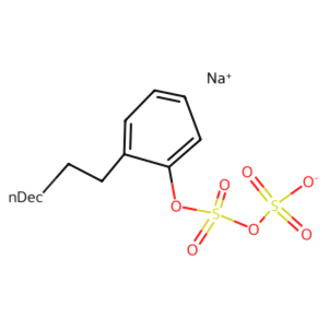 CCCCCCCCCCCCc1ccccc1OS(=O)(=O)OS(=O)(=O)[O-].[Na+]